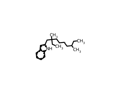 CCC(C)C[CH]CCC(C)(CC)Cc1cc2ccccc2[nH]1